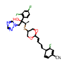 C[C@@H](SC1COC(/C=C/C=C/c2ccc(C#N)cc2F)OC1)[C@](O)(Cn1cncn1)c1ccc(F)cc1F